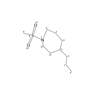 CCCC1CCCN(S(C)(=O)=O)CC1